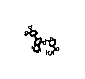 COc1ccc(-c2cc3nccnc3c(OC[C@@H]3CN(C(N)=O)CCO3)n2)cc1OC